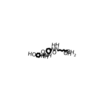 BC[C@H](O)CCCCNC(=O)N[C@@H]1CCCC(NC(=O)NC2CCC(O)CC2)CC1